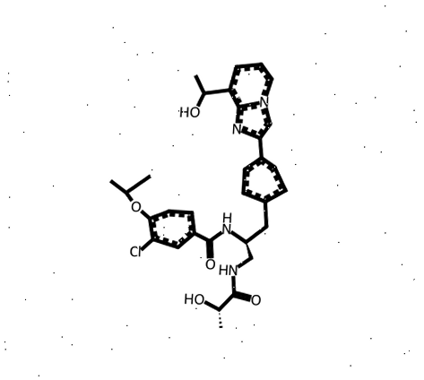 CC(C)Oc1ccc(C(=O)N[C@H](CNC(=O)[C@H](C)O)Cc2ccc(-c3cn4cccc(C(C)O)c4n3)cc2)cc1Cl